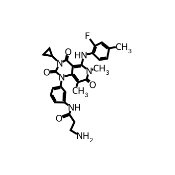 Cc1ccc(Nc2c3c(=O)n(C4CC4)c(=O)n(-c4cccc(NC(=O)CCN)c4)c3c(C)c(=O)n2C)c(F)c1